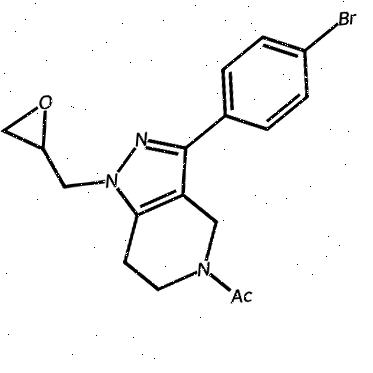 CC(=O)N1CCc2c(c(-c3ccc(Br)cc3)nn2CC2CO2)C1